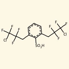 O=S(=O)(O)c1c(CC(F)(F)C(F)(F)Cl)cccc1CC(F)(F)C(F)(F)Cl